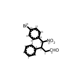 O=CCC(c1ccccc1)C(c1ccc(Br)cc1)[N+](=O)[O-]